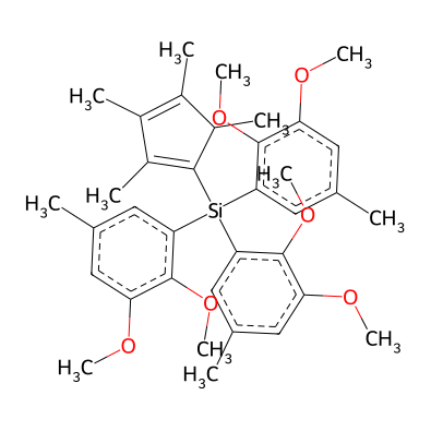 COc1cc(C)cc([Si](C2=C(C)C(C)=C(C)C2C)(c2cc(C)cc(OC)c2OC)c2cc(C)cc(OC)c2OC)c1OC